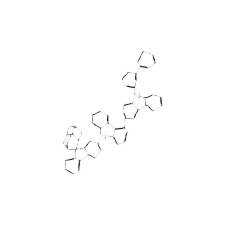 c1ccc(-c2cccc(-n3c4ccccc4c4cc(-c5cccc6c5c5ccccc5n6-c5ccc6c(c5)C5(c7ccccc7-6)C6CC7CC(C6)CC5C7)ccc43)c2)cc1